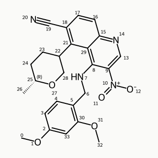 COc1ccc(CNc2c([N+](=O)[O-])cnc3ccc(C#N)c(C4CC[C@@H](C)OC4)c23)c(OC)c1